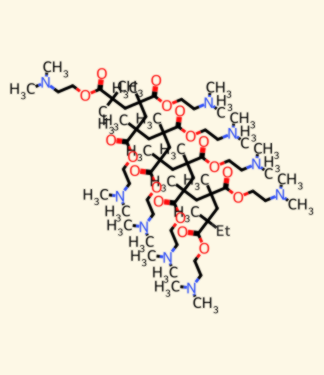 CCC(C)(CC(C)(CC(C)(CC(C)(CC(C)(CC(C)(CC(C)(CC(C)(CC(C)(C)C(=O)OCCN(C)C)C(=O)OCCN(C)C)C(=O)OCCN(C)C)C(=O)OCCN(C)C)C(=O)OCCN(C)C)C(=O)OCCN(C)C)C(=O)OCCN(C)C)C(=O)OCCN(C)C)C(=O)OCCN(C)C